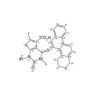 Cc1sc2c(c1C(=O)O)c(=O)n(C)c(=O)n2C(C)C.c1ccc2c(c1)ccc1c3c(ccc12)CCCC3